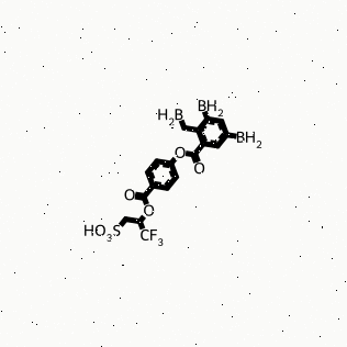 BCc1c(B)cc(B)cc1C(=O)Oc1ccc(C(=O)OC(CS(=O)(=O)O)C(F)(F)F)cc1